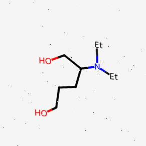 CCN(CC)C(CO)CCCO